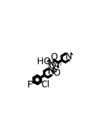 CN1CCC([C@@H](CS(=O)(=O)N2CCC(c3ccc(F)cc3Cl)CC2)C(=O)NO)CC1